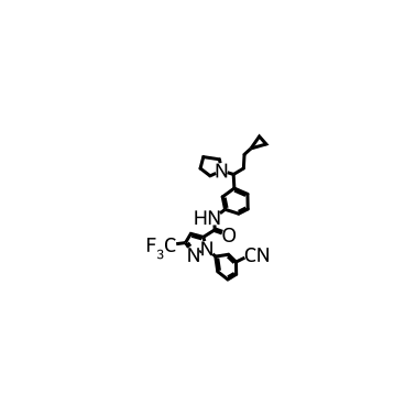 N#Cc1cccc(-n2nc(C(F)(F)F)cc2C(=O)Nc2cccc(C(CCC3CC3)N3CCCC3)c2)c1